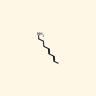 C/C=C/C=C/CCCN